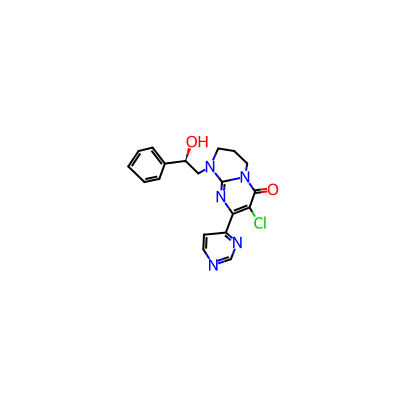 O=c1c(Cl)c(-c2ccncn2)nc2n1CCCN2C[C@H](O)c1ccccc1